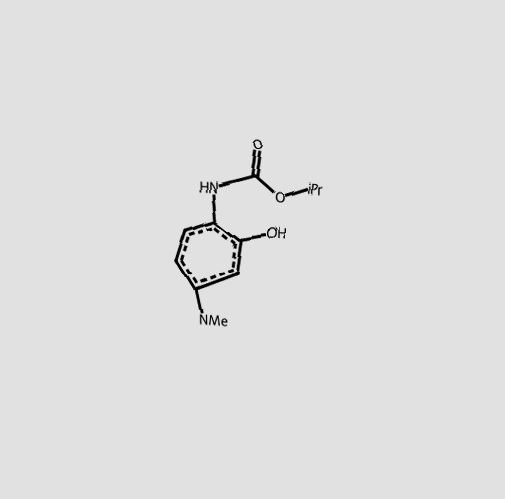 CNc1ccc(NC(=O)OC(C)C)c(O)c1